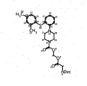 CCCCCCCCCCCC(=O)OCOC(=O)N1CCN(c2ccccc2Sc2ccc(C)cc2C)CC1